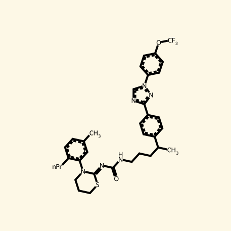 CCCc1ccc(C)cc1N1CCCS/C1=N\C(=O)NCCCC(C)c1ccc(-c2ncn(-c3ccc(OC(F)(F)F)cc3)n2)cc1